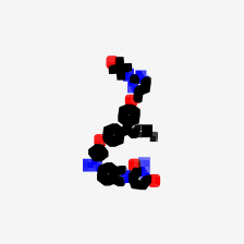 C=C[C@H](c1ccc(OCc2ccnc(N3CC4(COC4)C3)n2)cc1)c1ccc(OC2CC(Nc3ccc4c(c3)CN(C3CCC(=O)NC3=O)C4)C2)cc1